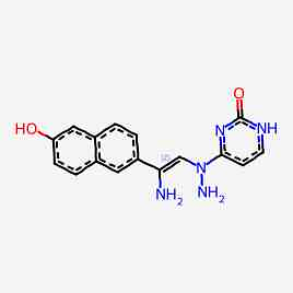 N/C(=C\N(N)c1cc[nH]c(=O)n1)c1ccc2cc(O)ccc2c1